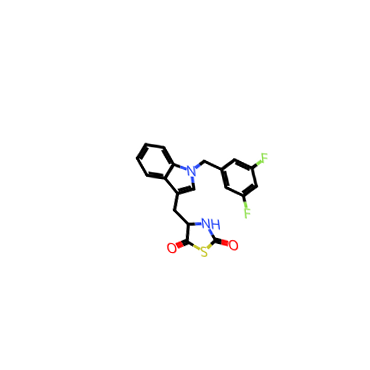 O=C1NC(Cc2cn(Cc3cc(F)cc(F)c3)c3ccccc23)C(=O)S1